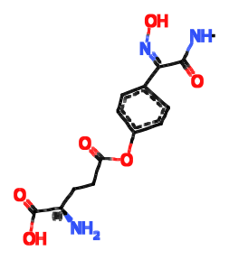 [NH]C(=O)C(=NO)c1ccc(OC(=O)CC[C@@H](N)C(=O)O)cc1